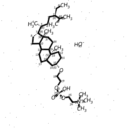 CC[C@H](CC[C@@H](C)[C@H]1CCC2C3CCC4C[C@@H](OCCOP(=O)(O)OCC[N+](C)(C)C)CC[C@]4(C)C3CC[C@@]21C)C(C)C.[OH-]